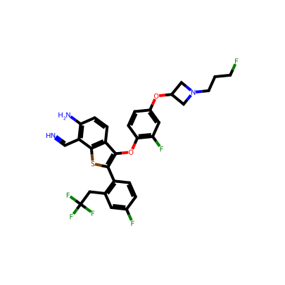 N=Cc1c(N)ccc2c(Oc3ccc(OC4CN(CCCF)C4)cc3F)c(-c3ccc(F)cc3CC(F)(F)F)sc12